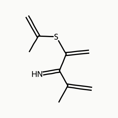 C=C(C)SC(=C)C(=N)C(=C)C